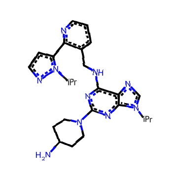 CC(C)n1nccc1-c1ncccc1CNc1nc(N2CCC(N)CC2)nc2c1ncn2C(C)C